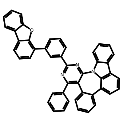 c1ccc(-c2nc(-c3cccc(-c4cccc5c4oc4ccccc45)c3)nc3c2-c2ccccc2-c2cccc4c5ccccc5n-3c24)cc1